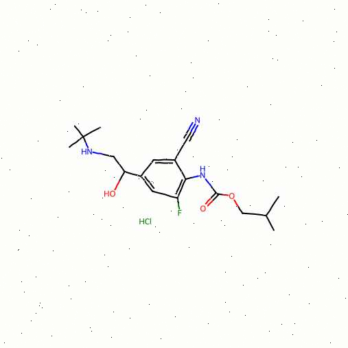 CC(C)COC(=O)Nc1c(F)cc(C(O)CNC(C)(C)C)cc1C#N.Cl